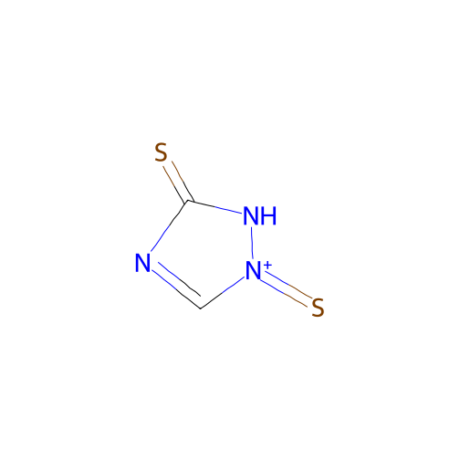 S=C1N=C[N+](=S)N1